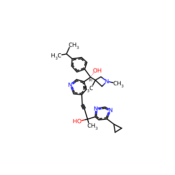 CC(C)c1ccc([C@](O)(c2cncc(C#CC(C)(O)c3cc(C4CC4)ncn3)c2)C2(C)CN(C)C2)cc1